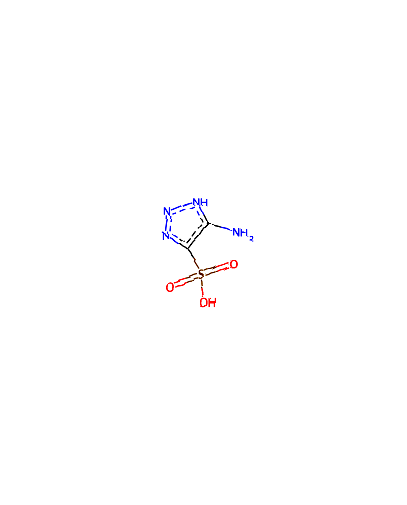 Nc1[nH]nnc1S(=O)(=O)O